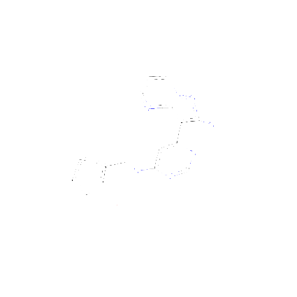 Nc1nn2cccnc2c1-c1cc(NCc2ccccc2OC(F)(F)F)ncn1